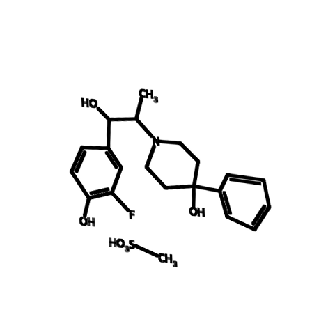 CC(C(O)c1ccc(O)c(F)c1)N1CCC(O)(c2ccccc2)CC1.CS(=O)(=O)O